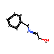 OCC=NCc1ccccc1